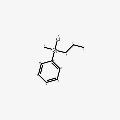 CC[CH2][Sn]([CH3])([Cl])[c]1ccccc1